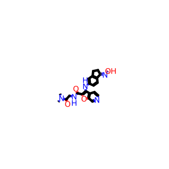 CN(C)C(=O)CNC(=O)c1oc2cnccc2c1Nc1ccc2c(c1)CC/C2=N\O